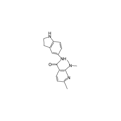 Cc1ccc(C(=O)Nc2ccc3c(c2)CCN3)c(N(C)C)n1